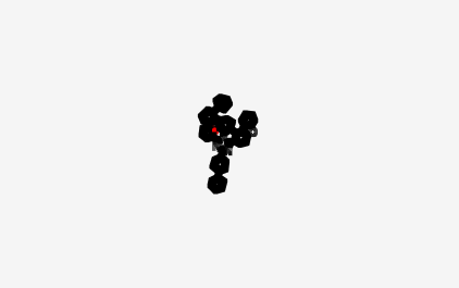 c1ccc(-c2ccc(-c3nc(-c4ccccc4)nc(-c4ccc5oc6ccccc6c5c4-c4ccc5c(c4)sc4cccc(-c6ccccc6)c45)n3)cc2)cc1